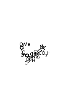 COc1ccc(COC(=O)c2ccc(C(OC(=O)CCl)C(=O)NC3C(=O)N4C(C(=O)O)=C(CSc5nnc(C)s5)CS[C@H]34)cc2)cc1